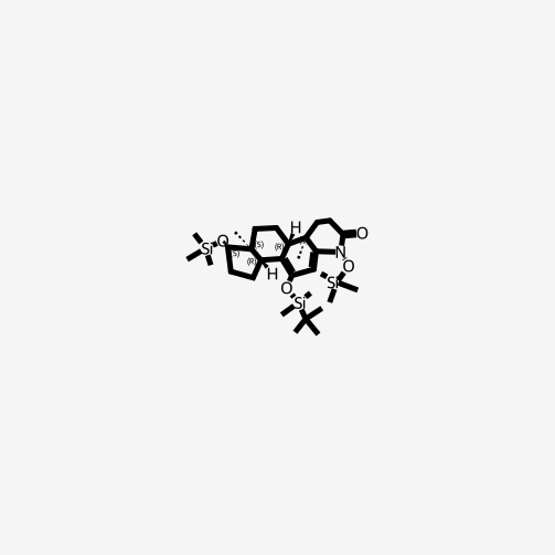 CC(C)(C)[Si](C)(C)OC1=C2[C@@H]3CC[C@H](O[Si](C)(C)C)[C@@]3(C)CC[C@@H]2[C@@]2(C)CCC(=O)N(O[Si](C)(C)C)C2=C1